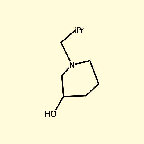 CC(C)CN1CCCC(O)C1